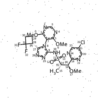 COc1ncnc(OC)c1-n1c(NS(=O)(=O)[C@@H](C)[C@H](OC)c2ncc(Cl)cn2)nnc1[C@H]1CCC1(F)F